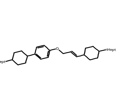 CCCCCCCC1CCC(C=CCOc2ccc(C3CCC(CCCCCCC)CC3)cc2)CC1